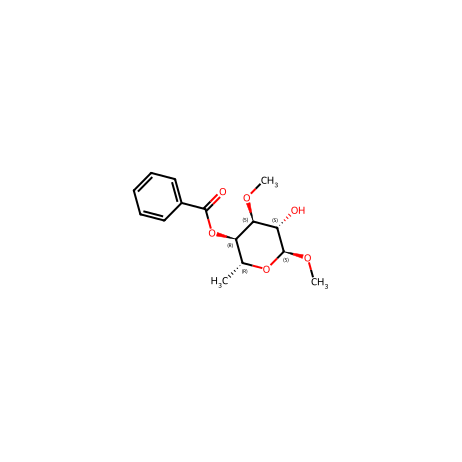 CO[C@H]1O[C@H](C)[C@@H](OC(=O)c2ccccc2)[C@@H](OC)[C@@H]1O